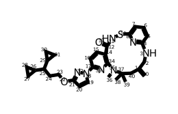 C=C1CNc2cccc(n2)SNC(=O)c2ccc(-n3ccc(OCCC(C4CC4)C4CC4)n3)nc2N(C)C(C)(C)C1